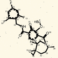 CCCCOc1c2n(cc(C(=O)NCc3c(F)cc(F)cc3F)c1=O)[C@@H]1CN(C2=O)[C@@H](C)CC[C@]12CO2